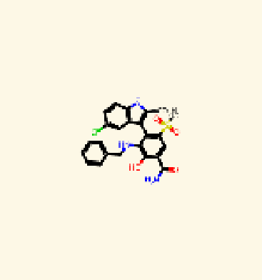 CCS(=O)(=O)c1cc(C(N)=O)c(O)c(NCc2ccccc2)c1-c1c(C(=O)O)[nH]c2ccc(Cl)cc12